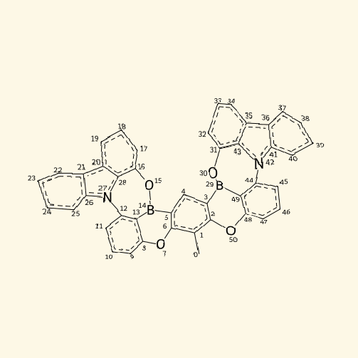 Cc1c2c(cc3c1Oc1cccc4c1B3Oc1cccc3c5ccccc5n-4c13)B1Oc3cccc4c5ccccc5n(c34)-c3cccc(c31)O2